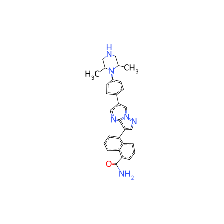 CC1CNCC(C)N1c1ccc(-c2cnc3c(-c4cccc5c(C(N)=O)cccc45)cnn3c2)cc1